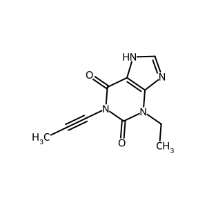 CC#Cn1c(=O)c2[nH]cnc2n(CC)c1=O